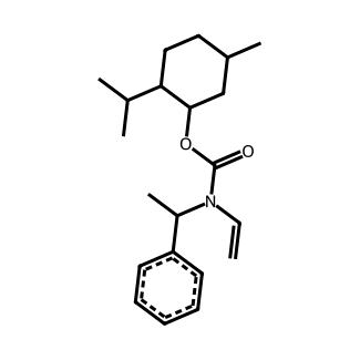 C=CN(C(=O)OC1CC(C)CCC1C(C)C)C(C)c1ccccc1